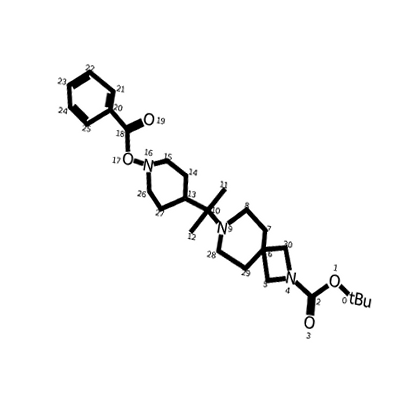 CC(C)(C)OC(=O)N1CC2(CCN(C(C)(C)C3CCN(OC(=O)c4ccccc4)CC3)CC2)C1